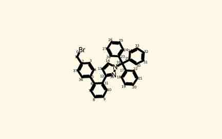 BrCc1ccc(-c2ccccc2-c2ccn(C(c3ccccc3)(c3ccccc3)c3ccccc3)n2)cc1